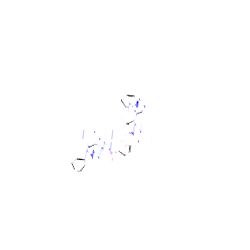 Cc1sc(Nc2ccc(C(=O)Nc3nn(-c4ccccc4)cc3N)s2)nc1-c1cnc2ccccn12